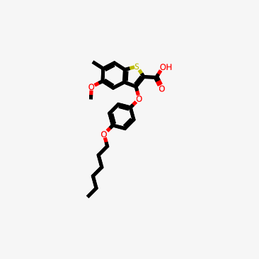 CCCCCCOc1ccc(Oc2c(C(=O)O)sc3cc(C)c(OC)cc23)cc1